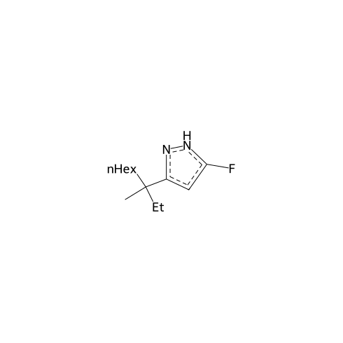 CCCCCCC(C)(CC)c1cc(F)[nH]n1